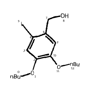 CCCCOc1cc(I)c(CO)cc1OCCCC